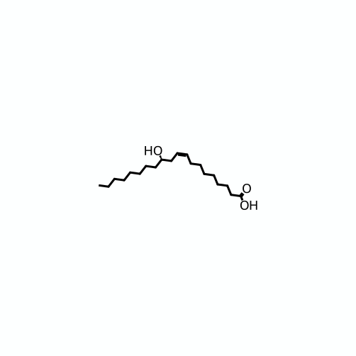 CCCCCCCC[C@@H](O)C/C=C\CCCCCCCC(=O)O